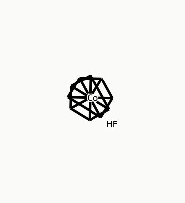 F.[CH]12[CH]3[CH]4[CH]5[CH]1[Co]23451678[CH]2[CH]1[CH]6[CH]7[CH]28